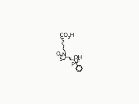 O=C(O)CSCCCCN1C(=O)SCC1/C=C/C(O)C(F)(F)c1ccccc1